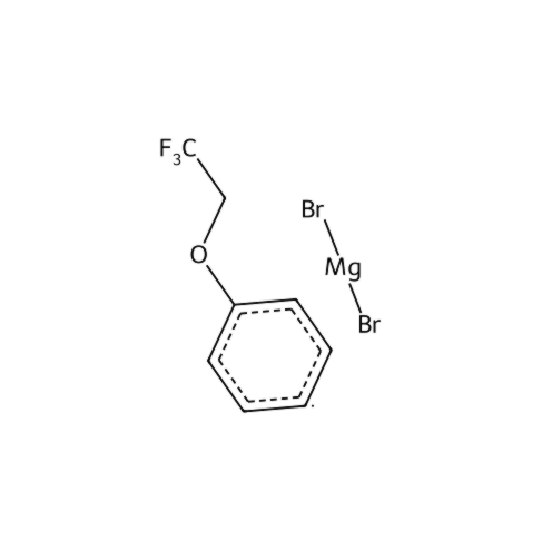 FC(F)(F)COc1cc[c]cc1.[Br][Mg][Br]